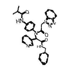 CC(C)C(=O)Nc1ccc(N(C(=O)Cn2nnc3ccccc32)C(C(=O)NCc2ccccc2)c2cccnc2)cc1